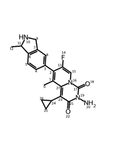 Cc1c(-c2ccc3c(c2)CNC3C)c(F)cn2c(=O)n(N)c(=O)c(C3CC3)c12